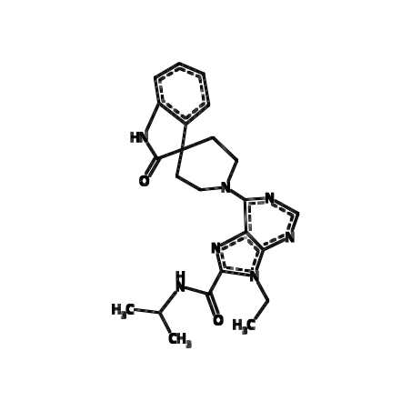 CCn1c(C(=O)NC(C)C)nc2c(N3CCC4(CC3)C(=O)Nc3ccccc34)ncnc21